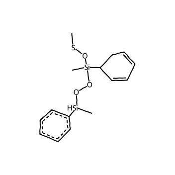 CSO[Si](C)(OO[SiH](C)c1ccccc1)C1C=CC=CC1